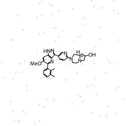 COc1cc2[nH]nc(-c3ccc(N4CCN5CC(O)C[C@@H]5C4)nc3)c2nc1-c1cccc(C)c1C